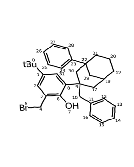 CC(C)(C)c1cc(CBr)c(O)c(C2(Cc3ccccc3)CC3CCCC(c4ccccc4)(C3)C2)c1